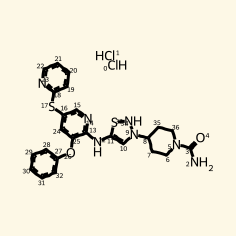 Cl.Cl.NC(=O)N1CCC(N2C=C(Nc3ncc(Sc4ccccn4)cc3Oc3ccccc3)SN2)CC1